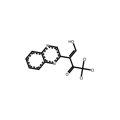 O=C(/C(=C/O)c1cnc2ccccc2n1)C(Cl)(Cl)Cl